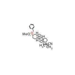 COC[C@@]1(OCc2ccccc2)CC[C@H]2[C@H](CC[C@@H]3[C@@H]2CC[C@]2(C)[C@@H](C(C)(C)C#N)CC[C@@H]32)C1